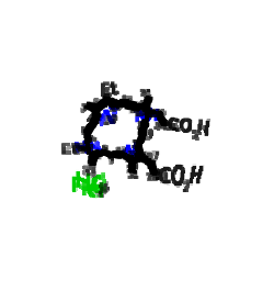 CCC1=C(C)c2cc3[nH]c(cc4nc(cc5[nH]c(cc1n2)c(C)c5CCC(=O)O)C(CCC(=O)O)=C4C)c(C)c3CC.Cl.Cl